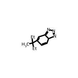 CCC(C)(CC)C1=CC2=NN=NC2C=C1